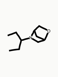 CCC(CC)N1CC2CC1CO2